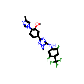 COc1cc(-c2nc(Nc3cc(F)c(C(F)(F)F)cc3F)n(C)n2)ccc1-n1cnc(C)c1